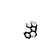 Cc1cc(CC(C)C)c(-c2ccccc2)c(CC(C)C)c1S(=O)(=O)O